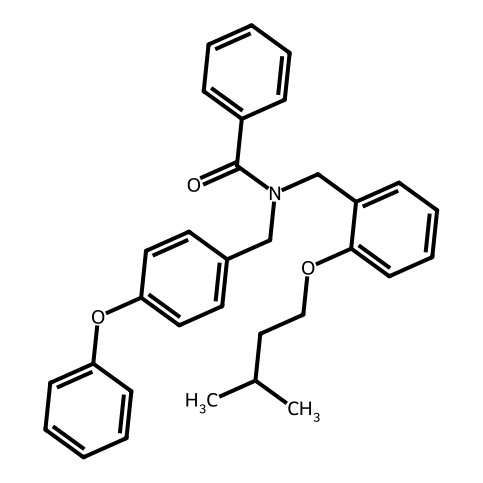 CC(C)CCOc1ccccc1CN(Cc1ccc(Oc2ccccc2)cc1)C(=O)c1ccccc1